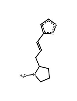 CN1CCCC1CC=Cc1ccno1